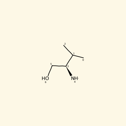 CC(C)[C@@H]([NH])CO